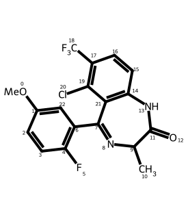 COc1ccc(F)c(C2=NC(C)C(=O)Nc3ccc(C(F)(F)F)c(Cl)c32)c1